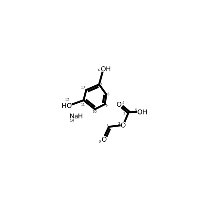 O=COC(=O)O.Oc1cccc(O)c1.[NaH]